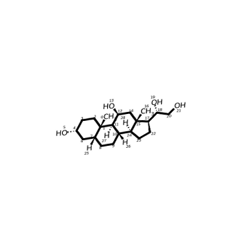 C[C@]12CC[C@@H](O)C[C@H]1CC[C@@H]1[C@@H]2[C@@H](O)C[C@]2(C)[C@@H]([C@H](O)CO)CC[C@@H]12